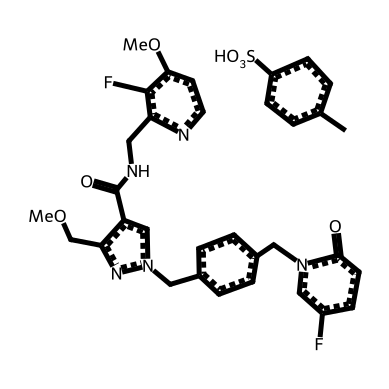 COCc1nn(Cc2ccc(Cn3cc(F)ccc3=O)cc2)cc1C(=O)NCc1nccc(OC)c1F.Cc1ccc(S(=O)(=O)O)cc1